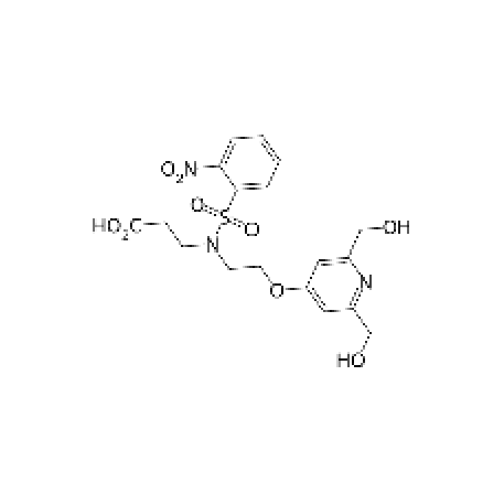 O=C(O)CCN(CCOc1cc(CO)nc(CO)c1)S(=O)(=O)c1ccccc1[N+](=O)[O-]